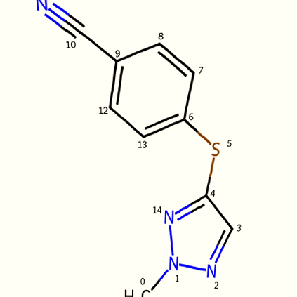 Cn1ncc(Sc2ccc(C#N)cc2)n1